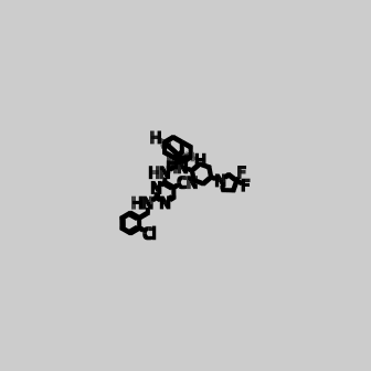 N#Cc1cnc(NCc2ccccc2Cl)nc1NC[C@]12CC3C[C@H](C1)[C@@H](NC1CCC(N4CCC(F)(F)C4)CC1)[C@@H](C3)C2